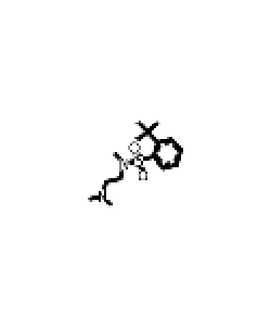 CN(C)CCN(C)S(=O)(=O)c1ccccc1C(C)(C)C